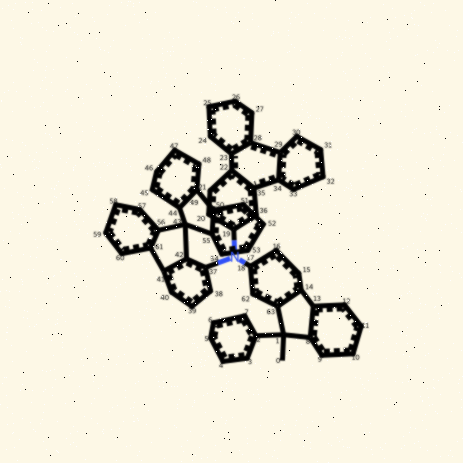 CC1(c2ccccc2)c2ccccc2-c2ccc(N(c3ccc4c5ccccc5c5ccccc5c4c3)c3cccc4c3C3(c5ccccc5-c5ccccc53)c3ccccc3-4)cc21